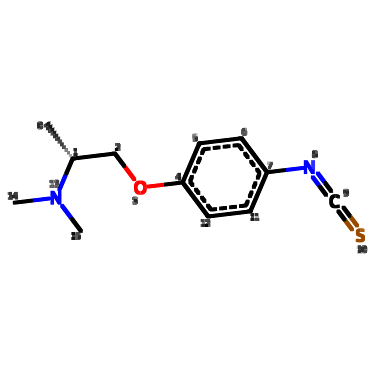 C[C@H](COc1ccc(N=C=S)cc1)N(C)C